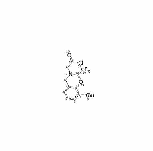 CC(C)(C)c1cccc(CN(CC(=O)Cl)C(=O)C(F)(F)F)c1